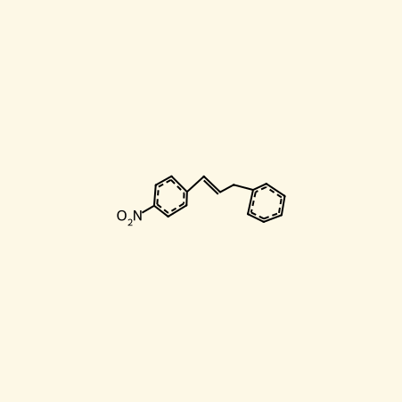 O=[N+]([O-])c1ccc(/C=C/Cc2ccccc2)cc1